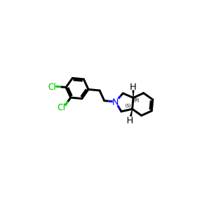 Clc1ccc(CCN2C[C@H]3CC=CC[C@H]3C2)cc1Cl